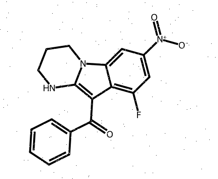 O=C(c1ccccc1)c1c2n(c3cc([N+](=O)[O-])cc(F)c13)CCCN2